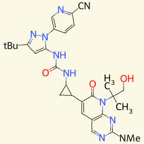 CNc1ncc2cc(C3CC3NC(=O)Nc3cc(C(C)(C)C)nn3-c3ccc(C#N)nc3)c(=O)n(C(C)(C)CO)c2n1